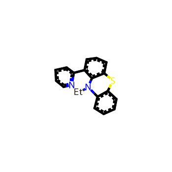 CCN1c2ccccc2Sc2cccc(-c3ccccn3)c21